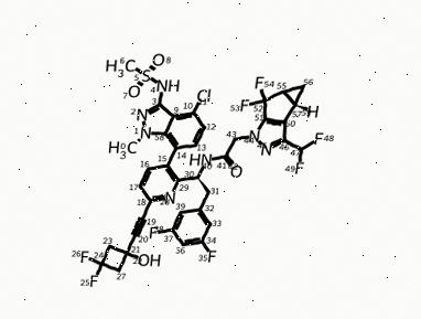 Cn1nc(NS(C)(=O)=O)c2c(Cl)ccc(-c3ccc(C#CC4(O)CC(F)(F)C4)nc3[C@H](Cc3cc(F)cc(F)c3)NC(=O)Cn3nc(C(F)F)c4c3C(F)(F)C3C[C@H]43)c21